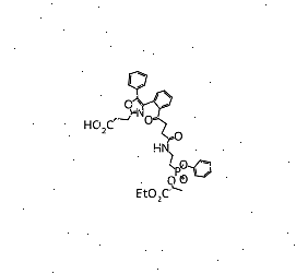 CCOC(=O)[C@@H](C)OP(=O)(CCNC(=O)CCC(=O)c1ccccc1-c1nc(CCC(=O)O)oc1-c1ccccc1)Oc1ccccc1